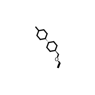 C=COC[C@H]1CC[C@H](C2CCC(C)CC2)CC1